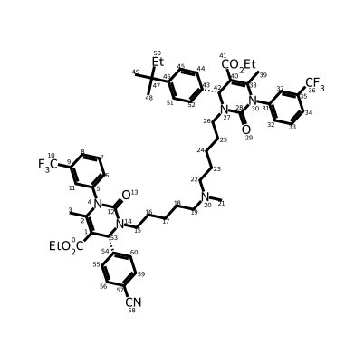 CCOC(=O)C1=C(C)N(c2cccc(C(F)(F)F)c2)C(=O)N(CCCCCN(C)CCCCCN2C(=O)N(c3cccc(C(F)(F)F)c3)C(C)=C(C(=O)OCC)[C@H]2c2ccc(C(C)(C)CC)cc2)[C@@H]1c1ccc(C#N)cc1